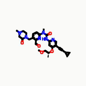 COC[C@@H](C)Oc1cc(NC(=O)N(C)c2ccc(CN3CCN(C)CC3=O)c(C=O)n2)ncc1C#CC1CC1